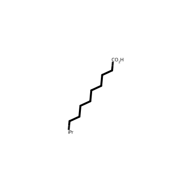 CC(C)CCCCCCCCC(=O)O